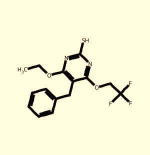 CCOc1nc(S)nc(OCC(F)(F)F)c1Cc1ccccc1